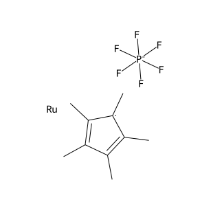 C[C]1C(C)=C(C)C(C)=C1C.F[P-](F)(F)(F)(F)F.[Ru]